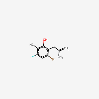 C=C(C)Cc1c(Br)cc(F)c(C#N)c1O